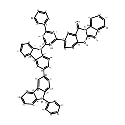 O=c1c2cc(-c3nc(-c4ccccc4)nc(-n4c5ccccc5c5cc(-c6ccc7c(c6)c6ccccc6n7-c6ccccc6)ccc54)n3)ccc2sc2nc3ccccc3n12